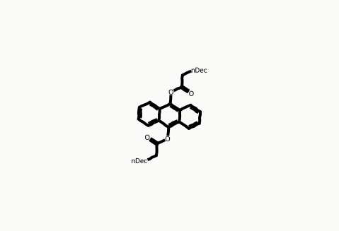 CCCCCCCCCCCC(=O)Oc1c2ccccc2c(OC(=O)CCCCCCCCCCC)c2ccccc12